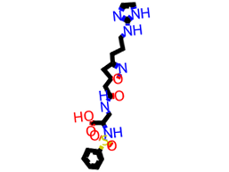 O=C(CC1CC(CCCNc2ncc[nH]2)=NO1)NCC(NS(=O)(=O)c1ccccc1)C(=O)O